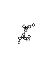 c1ccc(-c2ccc(-n3c4ccccc4c4cc(-c5ccc6c(c5)c5c7c(ccc5n6-c5cccc(-c6ccccc6)c5)oc5ccccc57)ccc43)cc2)cc1